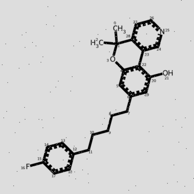 CC1(C)Oc2cc(CCCCCc3ccc(F)cc3)cc(O)c2-c2cnccc21